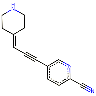 N#Cc1ccc(C#CC=C2CCNCC2)cn1